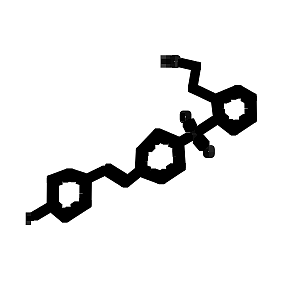 O=S(=O)(c1ccc(C=Cc2ccc(F)cc2)cc1)c1ccccc1CCO